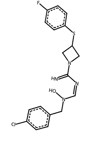 N=C(/N=C\N(O)Cc1ccc(Cl)cc1)N1CC(Sc2ccc(F)cc2)C1